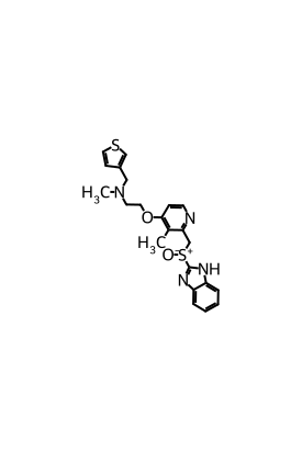 Cc1c(OCCN(C)Cc2ccsc2)ccnc1C[S+]([O-])c1nc2ccccc2[nH]1